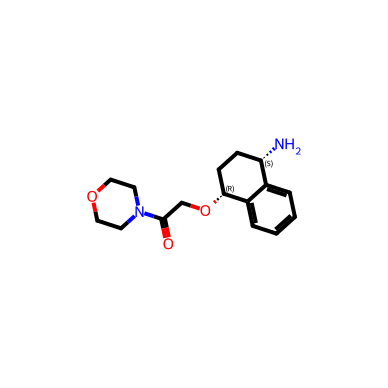 N[C@H]1CC[C@@H](OCC(=O)N2CCOCC2)c2ccccc21